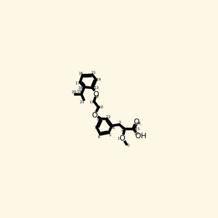 COC(Cc1cccc(OCCOc2ccccc2C(C)C)c1)C(=O)O